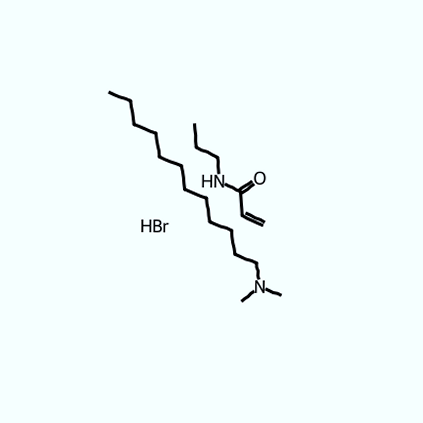 Br.C=CC(=O)NCCC.CCCCCCCCCCCCN(C)C